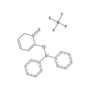 F[B-](F)(F)F.S=C1CC=CC=C1O[S+](c1ccccc1)c1ccccc1